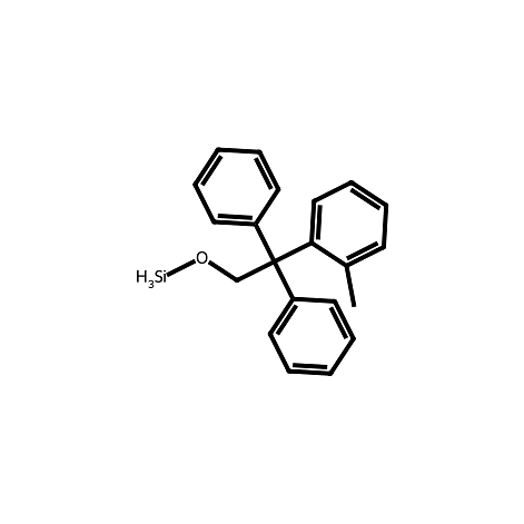 Cc1ccccc1C(CO[SiH3])(c1ccccc1)c1ccccc1